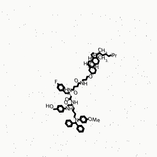 COc1ccc(N(CCCC[C@H](NC(=O)C[C@H](Cc2ccc(F)cc2)NC(=O)CCC(=O)NCCCO[C@H]2CC[C@@]3(C)C(=CC[C@H]4[C@@H]5CC[C@H]([C@H](C)CCCC(C)C)[C@@]5(C)CC[C@@H]43)C2)C(=O)Nc2ccc(CO)cc2)C(c2ccccc2)c2ccccc2)cc1